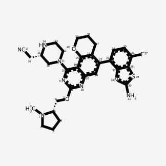 CN1CCC[C@H]1COc1nc(N2CCN[C@@H](CC#N)C2)c2c3c(c(-c4ccc(F)c5sc(N)nc45)cc2n1)CCCO3